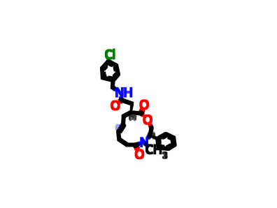 CN1C(=O)CC/C=C/C[C@@H](CC(=O)NCc2ccc(Cl)cc2)C(=O)OC[C@H]1c1ccccc1